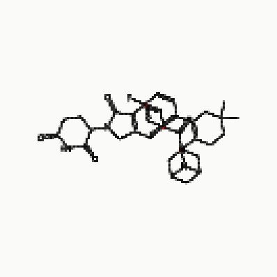 CC1(C)CCC(CN2C3CC2CN(C(=O)c2ccc4c(c2)CN(C2CCC(=O)NC2=O)C4=O)C3)=C(c2ccc(F)cc2)C1